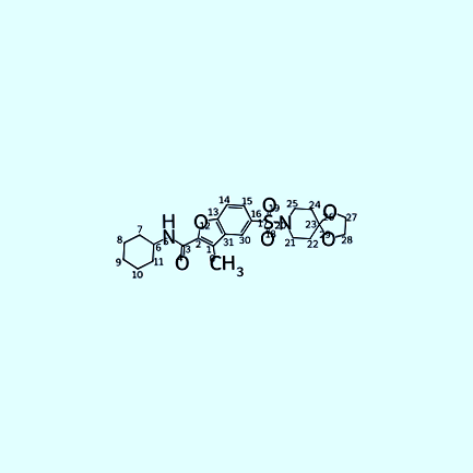 Cc1c(C(=O)NC2CCCCC2)oc2ccc(S(=O)(=O)N3CCC4(CC3)OCCO4)cc12